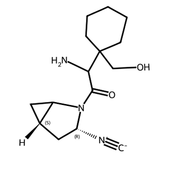 [C-]#[N+][C@@H]1C[C@@H]2CC2N1C(=O)C(N)C1(CO)CCCCC1